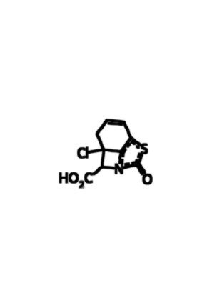 O=C(O)C1n2c3c(sc2=O)C=CCC31Cl